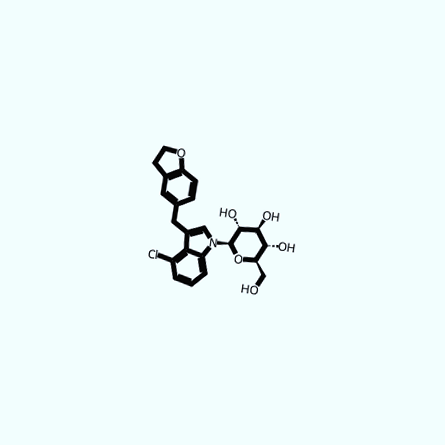 OC[C@H]1O[C@@H](n2cc(Cc3ccc4c(c3)CCO4)c3c(Cl)cccc32)[C@H](O)[C@@H](O)[C@@H]1O